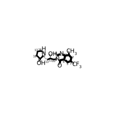 Cc1cc(C(F)(F)F)cc2c(=O)n(C[C@@H](O)C[C@H]3NCCC[C@@H]3O)cnc12